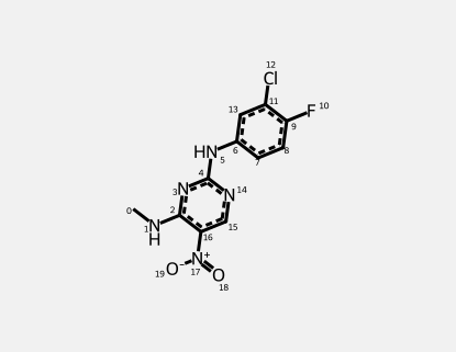 CNc1nc(Nc2ccc(F)c(Cl)c2)ncc1[N+](=O)[O-]